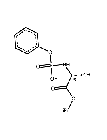 CC(C)OC(=O)[C@@H](C)NP(=O)(O)Oc1ccccc1